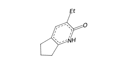 CCc1cc2c([nH]c1=O)CCC2